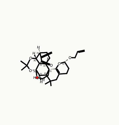 C=CCO[C@@H]1CCC2=C(O1)[C@@]13CCO[C@]4(OC(C)(C)O[C@@H]5[C@H]6CC[C@@H]1[C@]54C(=O)C6=C)[C@@H](O)[C@@H]3C(C)(C)C2